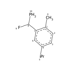 Cc1ccc(C(C)C)cc1C(F)P